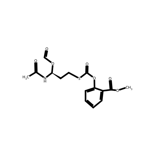 COC(=O)c1ccccc1OC(=O)SCC[C@@H](NC(C)=O)OC=O